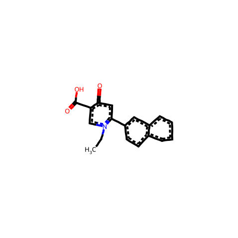 CCn1cc(C(=O)O)c(=O)cc1-c1ccc2ccccc2c1